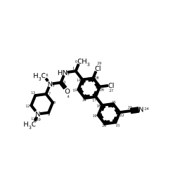 CC(NC(=O)N(C)C1CCN(C)CC1)c1ccc(-c2cccc(C#N)c2)c(Cl)c1Cl